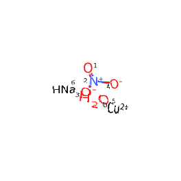 O.O=[N+]([O-])[O-].[Cu+2].[NaH]